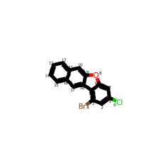 Clc1cc(Br)c2c(c1)oc1cc3ccccc3cc12